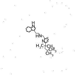 CC(C)CC(C)(C)c1csc(CNCCc2c[nH]c3ccccc23)n1